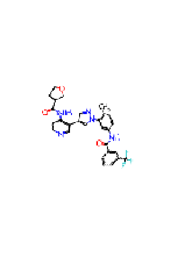 Cc1ccc(NC(=O)c2cccc(C(F)(F)F)c2)cc1-n1cc(C2=C(NC(=O)C3CCOC3)CCN=C2)cn1